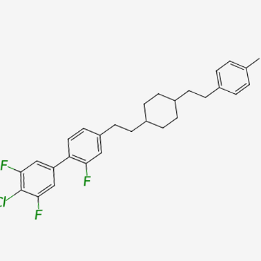 Cc1ccc(CCC2CCC(CCc3ccc(-c4cc(F)c(Cl)c(F)c4)c(F)c3)CC2)cc1